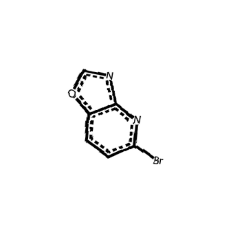 Brc1ccc2ocnc2n1